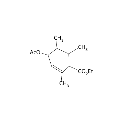 CCOC(=O)C1C(C)=CC(OC(C)=O)C(C)C1C